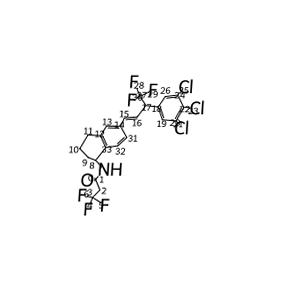 O=C(CC(F)(F)F)NC1CCCc2cc(/C=C/C(c3cc(Cl)c(Cl)c(Cl)c3)C(F)(F)F)ccc21